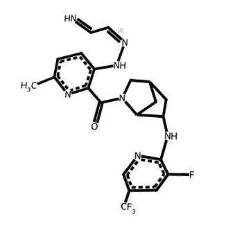 Cc1ccc(N/N=C\C=N)c(C(=O)N2CC3CC(Nc4ncc(C(F)(F)F)cc4F)C2C3)n1